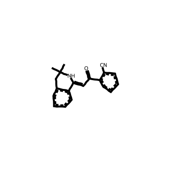 CC1(C)Cc2ccccc2/C(=C/C(=O)c2ccccc2C#N)N1